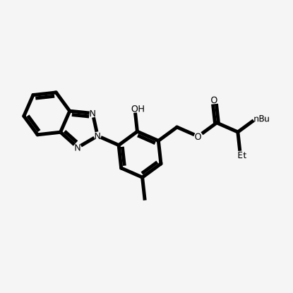 CCCCC(CC)C(=O)OCc1cc(C)cc(-n2nc3ccccc3n2)c1O